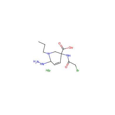 Br.CCCN1CC(NC(=O)CBr)(C(=O)O)C=CC1NN